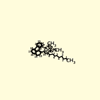 CCCCCCCCCC(CCc1ccc2cccc3c2c1-c1ccccc1-3)[Si](OCC)(OCC)OCC